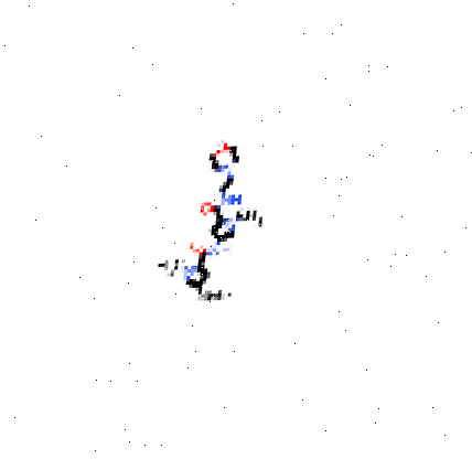 CNc1cc(C(=O)Nc2cc(C(=O)NCCN3CCOCC3)n(C)c2)n(C)c1